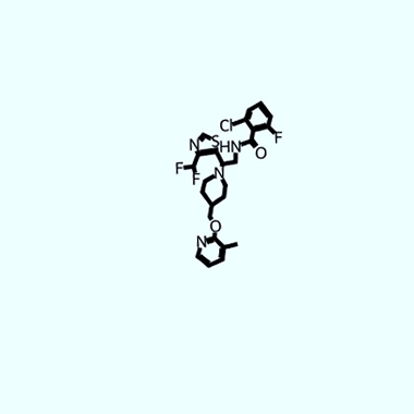 Cc1cccnc1OCC1CCN(C(CNC(=O)c2c(F)cccc2Cl)c2scnc2C(F)F)CC1